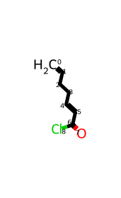 C=CCCC=CC(=O)Cl